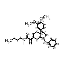 CCCCNC(=S)NC1CCC2(c3ccc(OC)c(OC)c3)CCN(Cc3ccccc3)C2C1